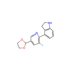 Fc1cc(C2OCCO2)cnc1-c1cccc2c1CCN2